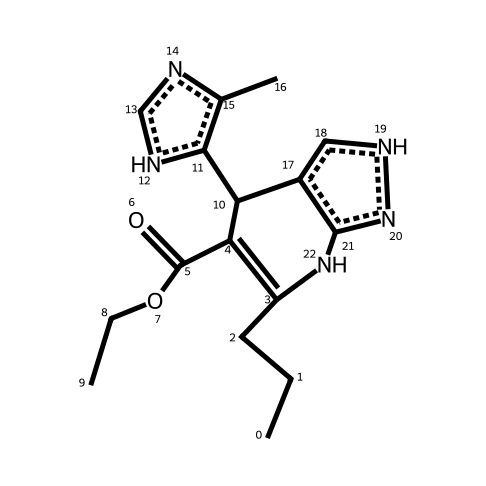 CCCC1=C(C(=O)OCC)C(c2[nH]cnc2C)c2c[nH]nc2N1